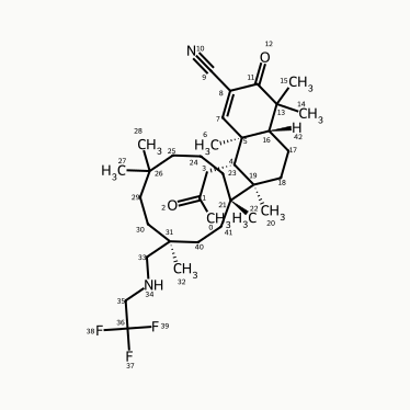 CC(=O)C[C@@H]1[C@@]2(C)C=C(C#N)C(=O)C(C)(C)[C@@H]2CC[C@@]1(C)[C@@]1(C)CCCC(C)(C)CC[C@](C)(CNCC(F)(F)F)CC1